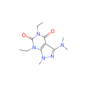 CCn1c(=O)c2c(N(C)C)nn(C)c2n(CC)c1=O